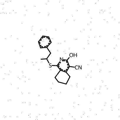 CC(Cc1ccccc1)Sc1nc(O)c(C#N)c2c1CCCC2